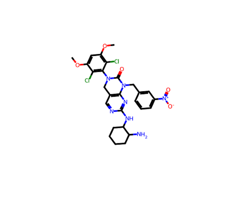 COc1cc(OC)c(Cl)c(N2Cc3cnc(NC4CCCCC4N)nc3N(Cc3cccc([N+](=O)[O-])c3)C2=O)c1Cl